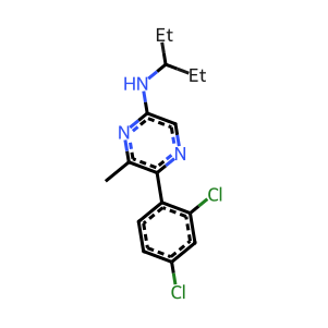 CCC(CC)Nc1cnc(-c2ccc(Cl)cc2Cl)c(C)n1